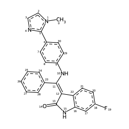 Cn1ccnc1-c1ccc(NC(=C2C(=O)Nc3cc(F)ccc32)c2ccccc2)cc1